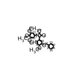 COc1ccc(C2C(=O)C(=O)N2c2cc(OC)c(OC)c(OC)c2)cc1OCc1ccccc1